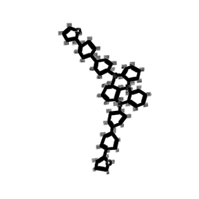 c1coc(-c2ccc(-c3ccc(B4c5ccccc5N5c6ccccc6B(c6ccc(-c7ccc(-c8ccco8)cc7)cc6)c6cccc4c65)cc3)cc2)c1